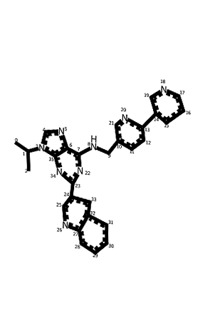 CC(C)n1cnc2c(NCc3ccc(-c4cccnc4)nc3)nc(-c3cnc4ccccc4c3)nc21